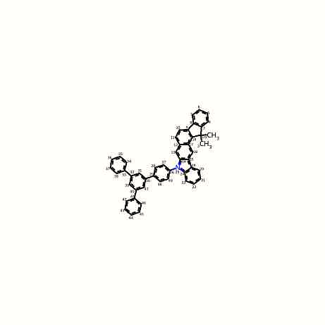 CC1(C)c2ccccc2-c2ccc3cc4c(cc3c21)c1ccccc1n4-c1ccc(-c2cc(-c3ccccc3)cc(-c3ccccc3)c2)cc1